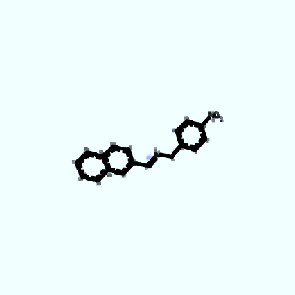 O=[N+]([O-])c1ccc(C/N=C/c2ccc3ccccc3c2)cc1